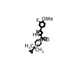 COc1ccc(-c2cc(C(=O)N3CCN(C(C)(C)C4CC4)CC3)[nH]n2)cc1F.Cl.Cl